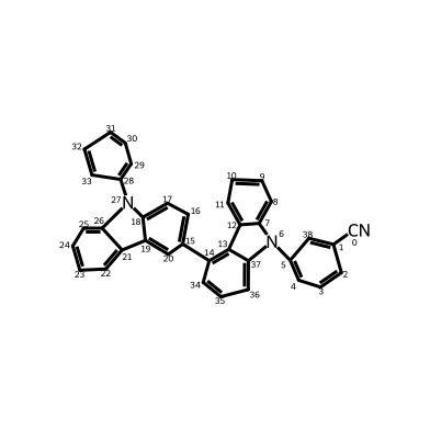 N#Cc1cccc(-n2c3ccccc3c3c(-c4ccc5c(c4)c4ccccc4n5-c4ccccc4)cccc32)c1